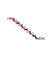 CCCCCCCCCCCCCOCCOCCOCCOCCOCCO